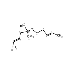 CC=CCCO[Si](CC=CC)(CCC)OC